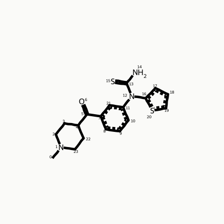 CN1CCC(C(=O)c2cccc(N(C(N)=S)c3cccs3)c2)CC1